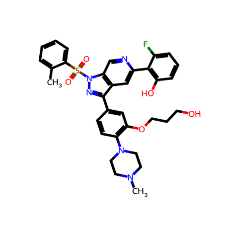 Cc1ccccc1S(=O)(=O)n1nc(-c2ccc(N3CCN(C)CC3)c(OCCCO)c2)c2cc(-c3c(O)cccc3F)ncc21